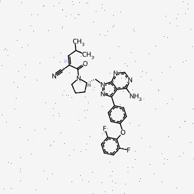 CC(C)/C=C(/C#N)C(=O)N1CCC[C@H]1Cn1nc(-c2ccc(Oc3c(F)cccc3F)cc2)c2c(N)ncnc21